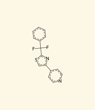 FC(F)(c1ccccc1)c1nc(-c2ccncc2)cs1